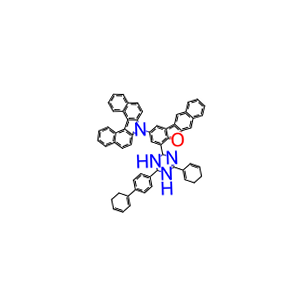 C1=CCCC(c2ccc(C3NC(C4=CCCC=C4)=NC(c4cc(-n5c6ccc7ccccc7c6c6c7ccccc7ccc65)cc5c4oc4cc6ccccc6cc45)N3)cc2)=C1